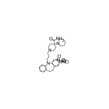 Cl.Cl.NC(=O)C1(N2CCCCC2)CCN(CCCN2c3ccccc3CCc3ccc(Cl)cc32)CC1.O